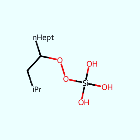 CCCCCCCC(CC(C)C)OO[Si](O)(O)O